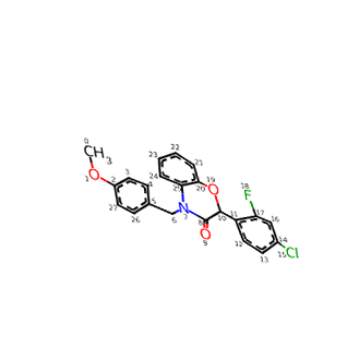 COc1ccc(CN2C(=O)C(c3ccc(Cl)cc3F)Oc3ccccc32)cc1